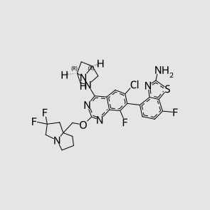 Nc1nc2c(-c3c(Cl)cc4c(N5C[C@H]6C[C@@H](C5)N6)nc(OCC56CCCN5CC(F)(F)C6)nc4c3F)ccc(F)c2s1